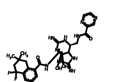 CC1(C)Cc2c(C(=O)NC3CN4C(=N)N[C@@H](CNC(=O)c5cnccn5)C5NC(=N)N[C@@]54C3(O)O)cccc2C(F)(F)C1